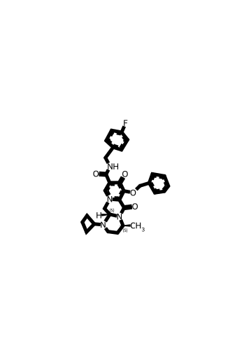 C[C@H]1CCN(C2CCC2)[C@@H]2Cn3cc(C(=O)NCc4ccc(F)cc4)c(=O)c(OCc4ccccc4)c3C(=O)N12